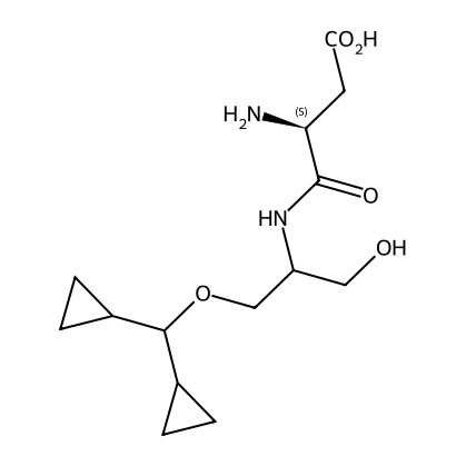 N[C@@H](CC(=O)O)C(=O)NC(CO)COC(C1CC1)C1CC1